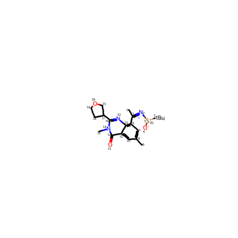 C/C(=N/[S@+]([O-])C(C)(C)C)c1cc(C)cc2c(=O)n(C)c(C3CCOC3)nc12